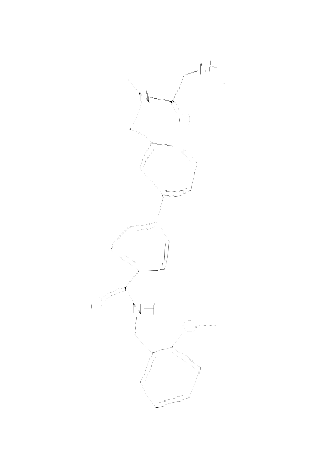 COc1ccccc1CNC(=O)c1ccc(-c2cccc(CN(C)C(=O)CN)c2)cc1